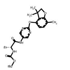 CC[C@@H](NC(=O)OC(C)(C)C)C(=O)Nc1cnc(Oc2ccc(C)c3c2C(C)(C)CO3)nc1